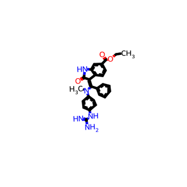 CCOC(=O)c1ccc2c(c1)NC(=O)/C2=C(/c1ccccc1)N(C)c1ccc(NC(=N)N)cc1